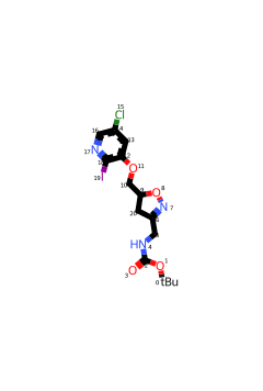 CC(C)(C)OC(=O)NCC1=NOC(COc2cc(Cl)cnc2I)C1